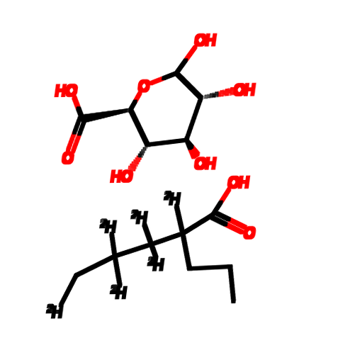 O=C(O)[C@H]1OC(O)[C@H](O)[C@@H](O)[C@@H]1O.[2H]CC([2H])([2H])C([2H])([2H])C([2H])(CCC)C(=O)O